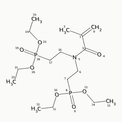 C=C(C)C(=O)N(CCP(=O)(OCC)OCC)CCP(=O)(OCC)OCC